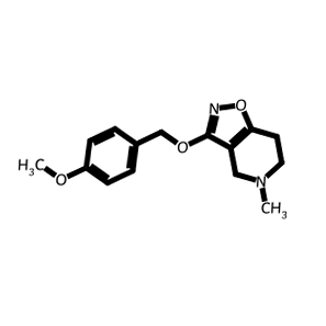 COc1ccc(COc2noc3c2CN(C)CC3)cc1